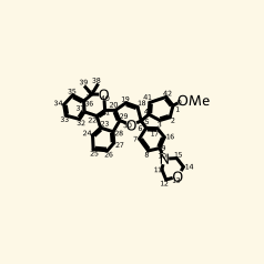 COc1ccc(C2(c3ccc(N4CCOCC4)cc3)C=Cc3c4c(c5ccccc5c3O2)-c2ccccc2C(C)(C)O4)cc1